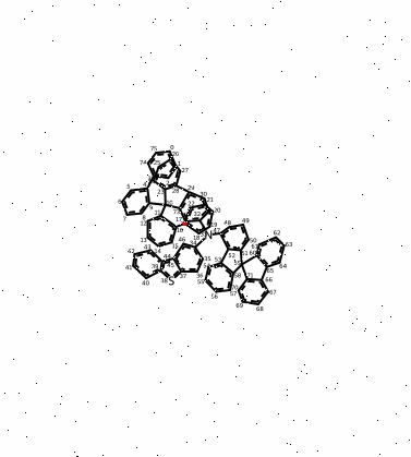 c1ccc(-c2ccccc2C2(c3ccccc3-c3ccccc3)c3ccccc3-c3ccc(N(c4ccc5sc6ccccc6c5c4)c4cccc5c4-c4ccccc4C54c5ccccc5-c5ccccc54)cc32)cc1